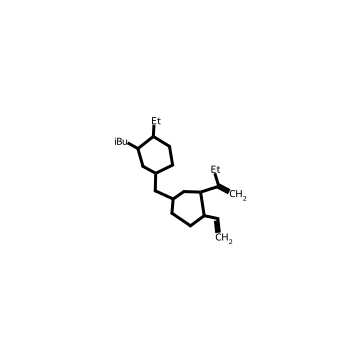 C=CC1CCC(CC2CCC(CC)C(C(C)CC)C2)CC1C(=C)CC